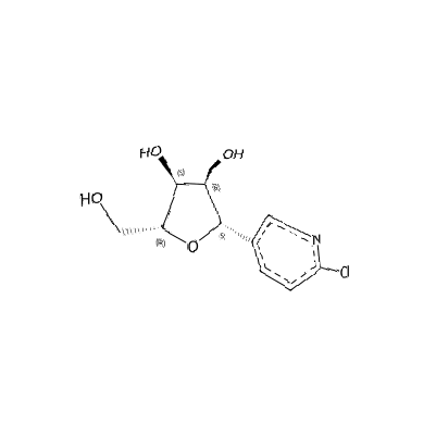 OC[C@H]1O[C@@H](c2ccc(Cl)nc2)[C@H](O)[C@@H]1O